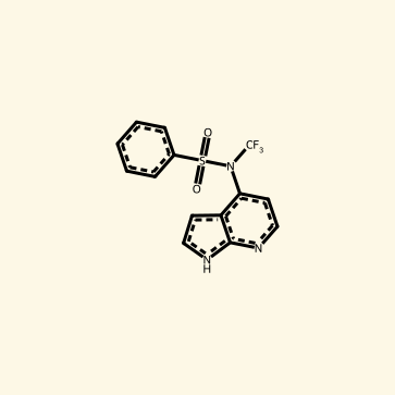 O=S(=O)(c1ccccc1)N(c1ccnc2[nH]ccc12)C(F)(F)F